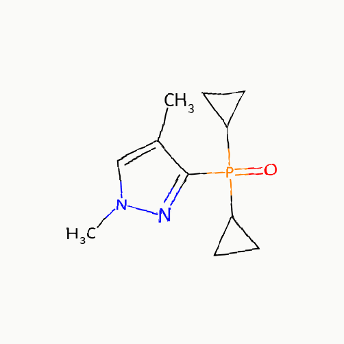 Cc1cn(C)nc1P(=O)(C1CC1)C1CC1